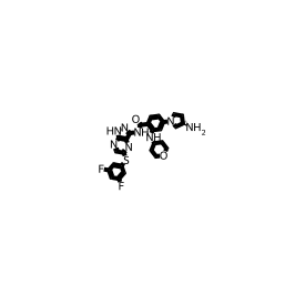 N[C@H]1CCN(c2ccc(C(=O)Nc3n[nH]c4ncc(Sc5cc(F)cc(F)c5)nc34)c(NC3CCOCC3)c2)C1